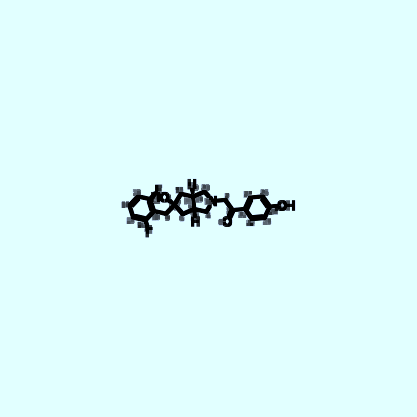 O=C(CN1C[C@@H]2C[C@](O)(Cc3c(F)cccc3F)C[C@@H]2C1)c1ccc(O)cc1